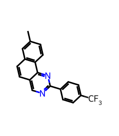 Cc1ccc2c(ccc3cnc(-c4ccc(C(F)(F)F)cc4)nc32)c1